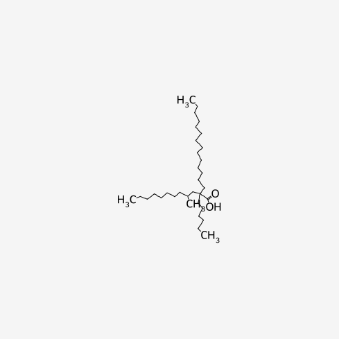 CCCCCCCCCCCCCCC(CCCCCC)(CC(C)CCCCCCCC)C(=O)O